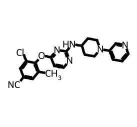 Cc1cc(C#N)cc(Cl)c1Oc1ccnc(NC2CCN(c3cccnc3)CC2)n1